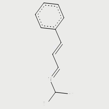 CCC(CC)/N=C/C=C/c1ccccc1